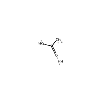 CC(=O)O.[HH]